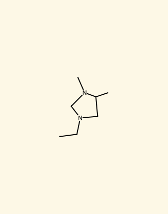 CCN1CC(C)N(C)C1